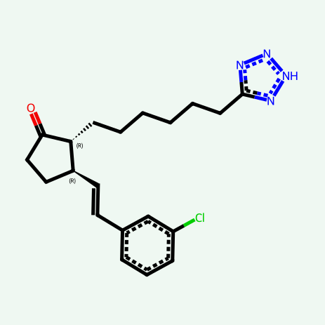 O=C1CC[C@H](C=Cc2cccc(Cl)c2)[C@H]1CCCCCCc1nn[nH]n1